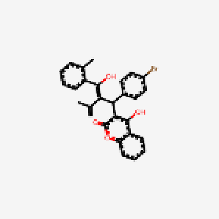 C=C(C)/C(=C(/O)c1ccccc1C)C(c1ccc(Br)cc1)c1c(O)c2ccccc2oc1=O